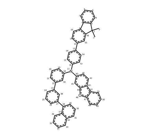 CC1(C)c2ccccc2-c2ccc(-c3ccc(N(c4cccc(-c5cccc(-c6cccc7ccccc67)c5)c4)c4ccc5c(c4)oc4ccccc45)cc3)cc21